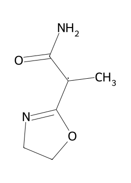 C[C](C(N)=O)C1=NCCO1